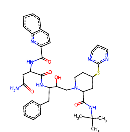 CC(C)(C)NC(=O)C1C[C@H](Sc2ncccn2)CCN1CC(O)C(Cc1ccccc1)NC(=O)C(CC(N)=O)NC(=O)c1ccc2ccccc2n1